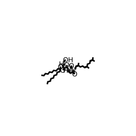 CCCCCCCCCC1(CCCCCCCCC)O[C@@H]2[C@H](O1)[C@@H](CO)O[C@H]2n1ccc(=O)n(CC=C(C)CCC=C(C)CCC=C(C)C)c1=O